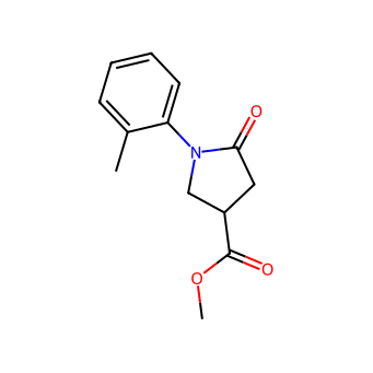 COC(=O)C1CC(=O)N(c2ccccc2C)C1